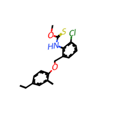 CCc1ccc(OCc2cccc(Cl)c2NC(=S)OC)c(C)c1